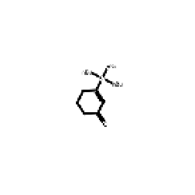 CCC[CH2][Sn]([CH2]CCC)([CH2]CCC)[C]1=CC(=O)CCC1